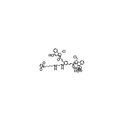 O=C1C=CC(=O)N1CCCCCCNCCCNc1cc(/C=C/C(=O)N2C[C@@H](CCl)c3c2cc(OP(=O)(O)O)c2ccccc32)ccc1/C=C/C(=O)N1C[C@@H](CCl)c2c1cc(O)c1ccccc21